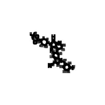 CC(C)(C)OC(=O)N1CCC(c2cc3c(-c4cc5c(cc4F)c(C#N)cn5Cc4cccc(F)c4)ccnc3[nH]2)CC1